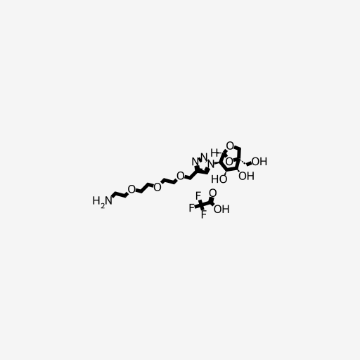 NCCOCCOCCOCc1cn([C@H]2[C@H]3OC[C@](CO)(O3)[C@H](O)[C@@H]2O)nn1.O=C(O)C(F)(F)F